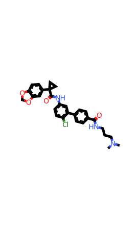 CN(C)CCCNC(=O)c1ccc(-c2cc(NC(=O)C3(c4ccc5c(c4)OCO5)CC3)ccc2Cl)cc1